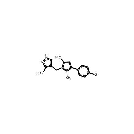 CCOC(=O)c1n[nH]cc1Cn1c(C)cc(-c2ccc(C#N)cc2)c1C